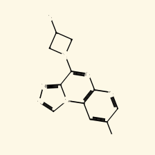 NC1CN(c2nc3ncc(Cl)cc3n3cnnc23)C1